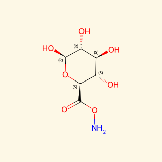 NOC(=O)[C@H]1O[C@@H](O)[C@H](O)[C@@H](O)[C@@H]1O